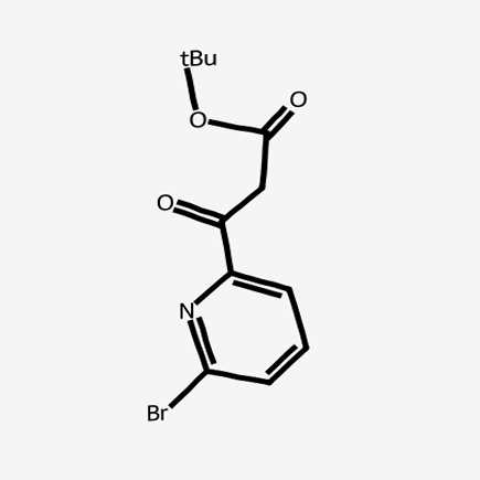 CC(C)(C)OC(=O)CC(=O)c1cccc(Br)n1